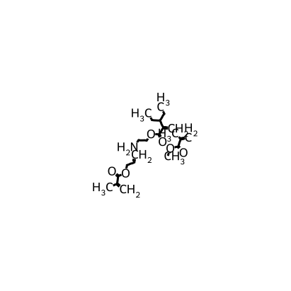 C=C(C(=O)OCCN)C(CC)CC.C=C(C)C(=O)OC.C=CCOC(=O)C(=C)C